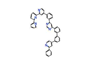 c1ccc(-c2cc(-c3cccc(-c4cccc(-c5cc(-c6cccc(-c7ccnc(-c8cccc(-c9ccccn9)n8)c7)c6)ncn5)c4)c3)ccn2)cc1